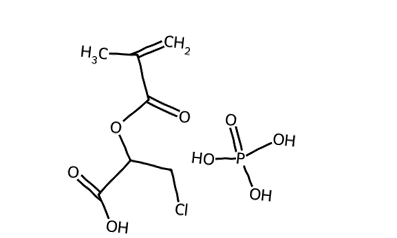 C=C(C)C(=O)OC(CCl)C(=O)O.O=P(O)(O)O